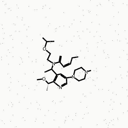 C=C(/C=C\CC)N(CCOC(C)C)C(C)c1cc(N2CCN(C)CC2)cnc1[C@H](C)OC